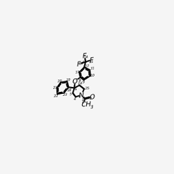 CC(=O)N1CCC(Oc2cccc(C(F)(F)F)c2)(c2ccccc2)CC1